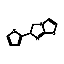 C1=CN2CC(c3cccs3)N=C2S1